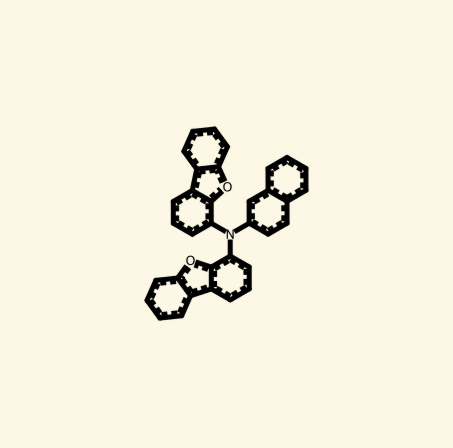 c1ccc2cc(N(c3cccc4c3oc3ccccc34)c3cccc4c3oc3ccccc34)ccc2c1